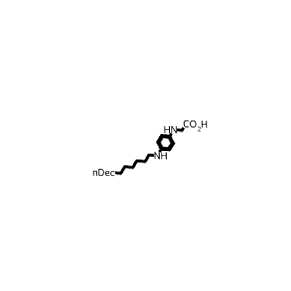 CCCCCCCCCCCCCCCCNc1ccc(NCC(=O)O)cc1